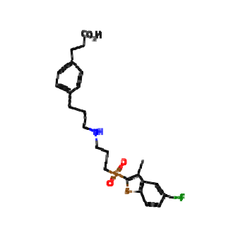 Cc1c(S(=O)(=O)CCCNCCCc2ccc(CCC(=O)O)cc2)sc2ccc(F)cc12